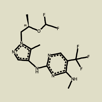 CNc1nc(Nc2cnn(C[C@@H](C)OC(F)F)c2C)ncc1C(F)(F)F